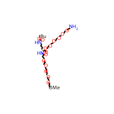 COCCOCCOCCOCCOCCOCCC(=O)N[C@H](CCCCNC(=O)OC(C)(C)C)C(=O)OCCOCCOCCOCCOCCOCCN